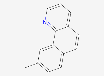 Cc1ccc2ccc3cccnc3c2c1